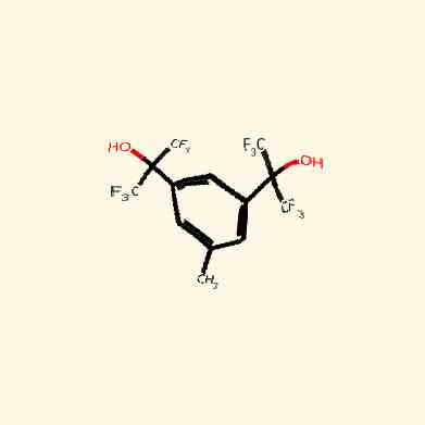 Cc1cc(C(O)(C(F)(F)F)C(F)(F)F)cc(C(O)(C(F)(F)F)C(F)(F)F)c1